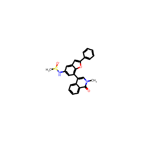 Cn1cc(-c2cc(N[S+](C)[O-])cc3cc(-c4ccccc4)oc23)c2ccccc2c1=O